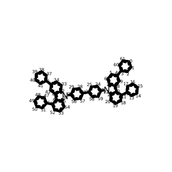 c1ccc(-c2ccc3c(c2)c2c(-c4ccccc4)cccc2n3-c2ccc(-c3ccc(-n4c5ccc(-c6ccccc6)cc5c5c(-c6ccccc6)cccc54)cc3)cc2)cc1